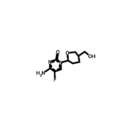 Nc1nc(=O)n(C2CCC(CO)CO2)cc1F